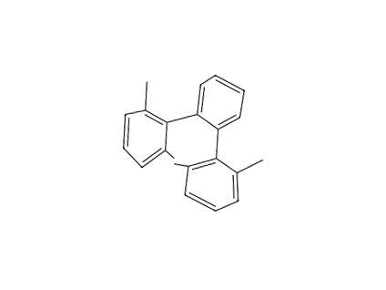 Cc1cccc(C)c1-c1ccccc1-c1c(C)cccc1C